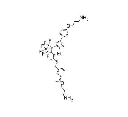 C\C=C/C(=C\C=C(/C)OCCCN)CS/C(C)=C(\CC)C1=C(c2cc(-c3ccc(OCCCN)cc3)sc2C)C(F)(F)C(F)(F)C1(F)F